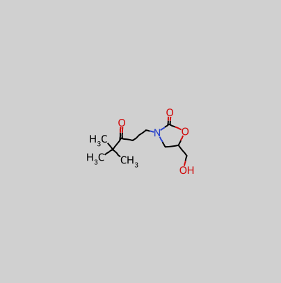 CC(C)(C)C(=O)CCN1CC(CO)OC1=O